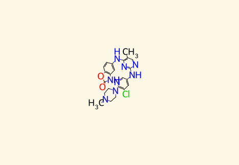 Cc1cnc(Nc2cnc(N3CCN(C)CC3)c(Cl)c2)nc1Nc1ccc2oc(=O)[nH]c2c1